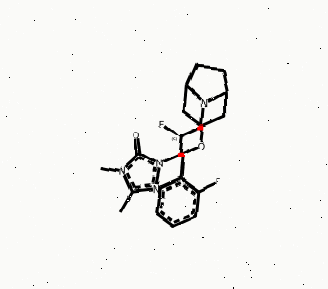 Cc1nn(C[C@@H](F)CN2C3CCC2CC(OCc2ccccc2F)C3)c(=O)n1C